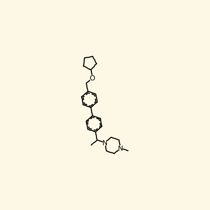 CC(c1ccc(-c2ccc(COC3CCCC3)cc2)cc1)N1CCN(C)CC1